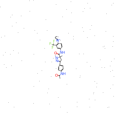 [C-]#[N+]c1ccc(NC(=O)C2(C)CC(c3ccc(NC(C)=O)cc3)=NN2C)cc1C(F)(F)F